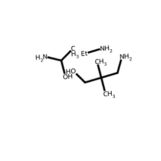 CC(C)(CN)CO.CC(N)O.CCN